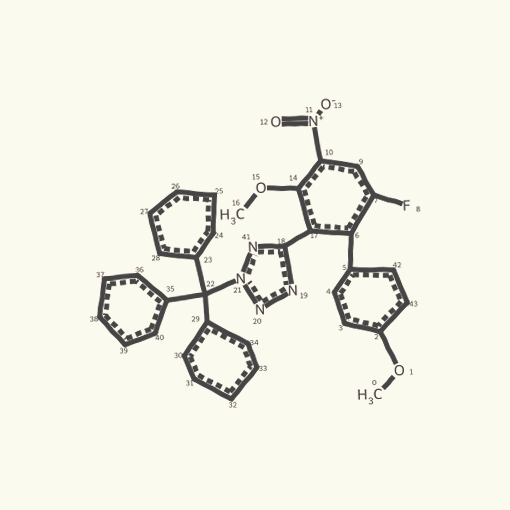 COc1ccc(-c2c(F)cc([N+](=O)[O-])c(OC)c2-c2nnn(C(c3ccccc3)(c3ccccc3)c3ccccc3)n2)cc1